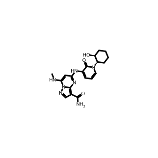 CNc1cc(Nc2cccn([C@@H]3CCCC[C@@H]3O)c2=O)nc2c(C(N)=O)cnn12